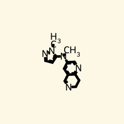 CN(c1cnc2c(c1)C=NCC2)c1ccnn1C